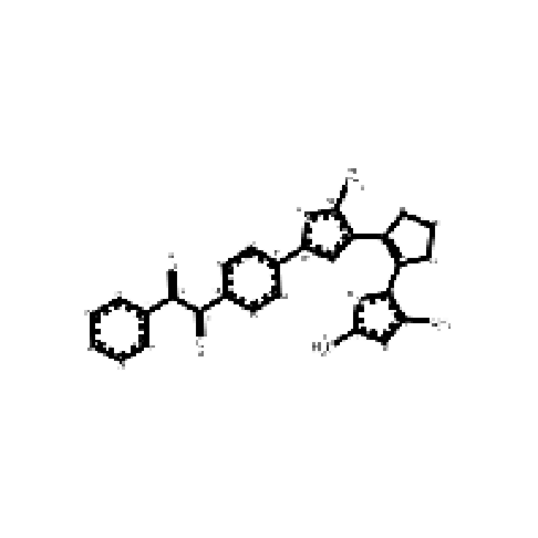 Cc1cc(C)c(C2=C(c3cc(-c4ccc(C(=O)C(=O)c5ccccc5)cc4)sc3C)CCC2)s1